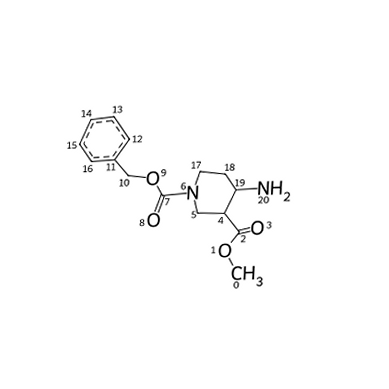 COC(=O)C1CN(C(=O)OCc2ccccc2)CCC1N